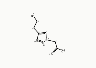 O=C(O)Cn1cc(CCBr)nn1